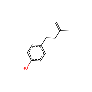 C=C(C)CCc1ccc(O)cc1